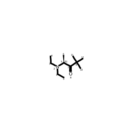 CCN(CC)[C@@H](C)C(=O)C(C)(C)C